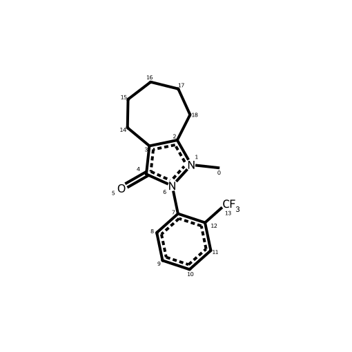 Cn1c2c(c(=O)n1-c1ccccc1C(F)(F)F)CCCCC2